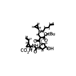 C=CCCCN(CC(C(=O)OC(C)(C)C)C(=O)N1C[C@H](O)C[C@H]1C(=O)NC1(C(=O)O)CC1C=C)C1CC1